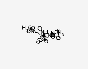 C[C@@H]1N=C(N2CCN(C(=O)[C@@H](CCCCNS(C)(=O)=O)NC3CCCCC3)[C@H](C(=O)NCc3cccs3)C2)O[C@H]1c1ccccc1C#N